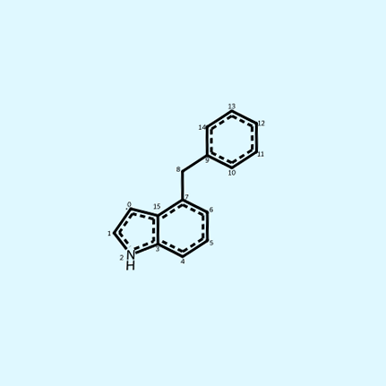 [c]1c[nH]c2cccc(Cc3ccccc3)c12